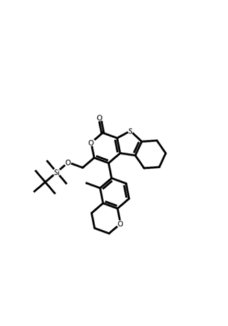 Cc1c(-c2c(CO[Si](C)(C)C(C)(C)C)oc(=O)c3sc4c(c23)CCCC4)ccc2c1CCCO2